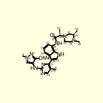 COc1nn(C)cc1Nc1ncc(F)c(-c2c[nH]c3c(NC(=O)[C@@H](C)N4CCN(C)[C@H](C)C4)cccc23)n1